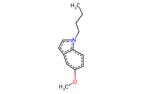 CCCCn1ccc2cc(OC)ccc21